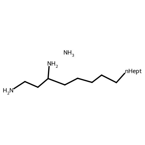 CCCCCCCCCCCCC(N)CCN.N